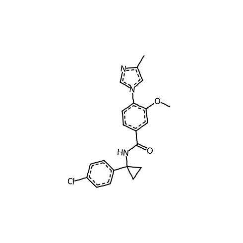 COc1cc(C(=O)NC2(c3ccc(Cl)cc3)CC2)ccc1-n1cnc(C)c1